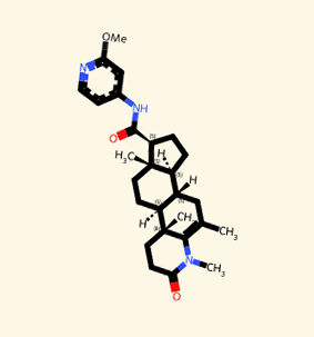 COc1cc(NC(=O)[C@H]2CC[C@H]3[C@@H]4CC(C)=C5N(C)C(=O)CC[C@]5(C)[C@H]4CC[C@]23C)ccn1